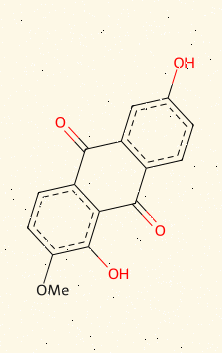 COc1ccc2c(c1O)C(=O)c1ccc(O)cc1C2=O